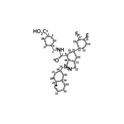 O=C(O)c1ccc(CNC(=O)c2cc(-c3ccc(F)c(F)c3)cc3cnn(Cc4ccc5ccccc5c4)c23)cc1